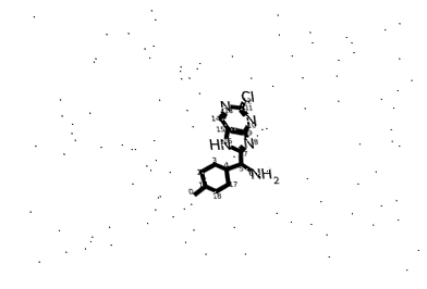 CC1CCC(C(N)c2nc3nc(Cl)ncc3[nH]2)CC1